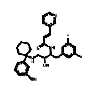 CC(C)(C)c1cccc(C2(NCC(O)C(Cc3cc(F)cc(F)c3)NC(=O)/C=C/c3cccnc3)CCCCC2)c1